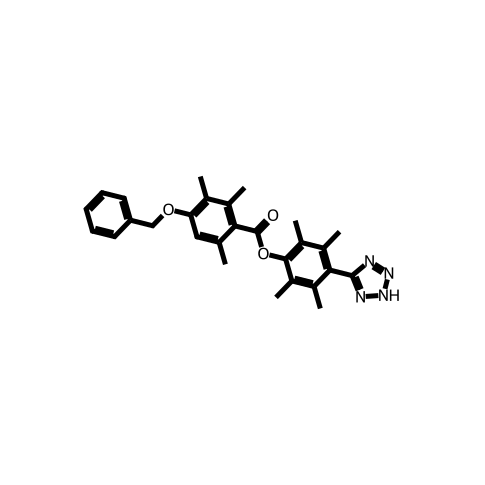 Cc1cc(OCc2ccccc2)c(C)c(C)c1C(=O)Oc1c(C)c(C)c(-c2nn[nH]n2)c(C)c1C